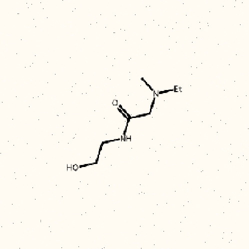 CCN(C)CC(=O)NCCO